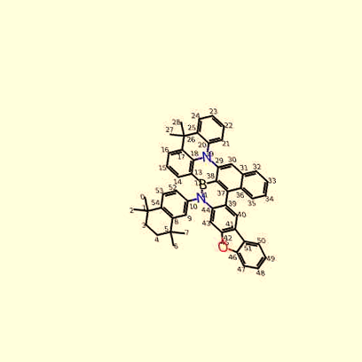 CC1(C)CCC(C)(C)c2cc(N3B4c5cccc6c5N(c5ccccc5C6(C)C)c5cc6ccccc6c(c54)-c4cc5c(cc43)oc3ccccc35)ccc21